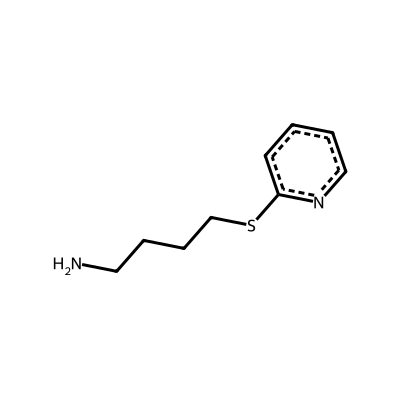 NCCCCSc1ccccn1